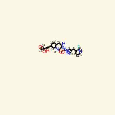 CN1C(=O)[C@@H](NC(=O)n2cc(Cc3cccnc3F)cn2)CCc2ccc(C#CC3(O)COC3)cc21